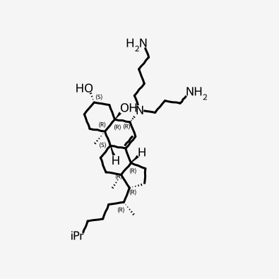 CC(C)CCC[C@@H](C)[C@H]1CC[C@H]2C3=C[C@@H](N(CCCN)CCCCN)[C@@]4(O)C[C@@H](O)CC[C@]4(C)[C@H]3CC[C@]12C